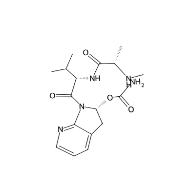 CN[C@@H](C)C(=O)N[C@H](C(=O)N1c2ncccc2C[C@H]1OC(N)=O)C(C)C